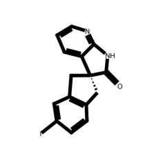 O=C1Nc2ncccc2[C@@]12Cc1ccc(I)cc1C2